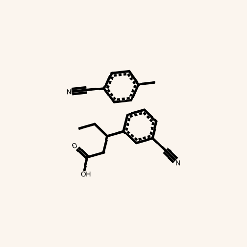 CCC(CC(=O)O)c1cccc(C#N)c1.Cc1ccc(C#N)cc1